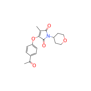 CC(=O)c1ccc(OC2=C(C)C(=O)N(C3CCOCC3)C2=O)cc1